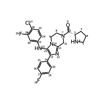 O=C([C@@H]1CCCN1)N1CCn2c(nc(-c3ccc(F)cc3)c2Nc2ccc(Cl)c(F)c2)C1